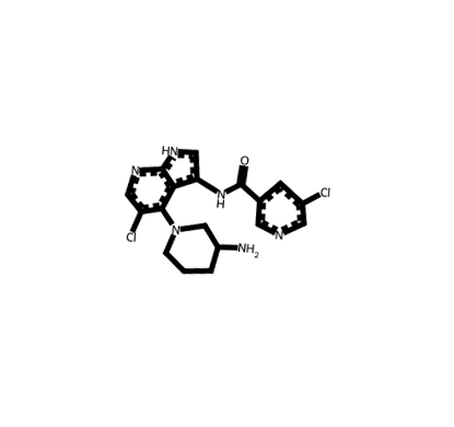 NC1CCCN(c2c(Cl)cnc3[nH]cc(NC(=O)c4cncc(Cl)c4)c23)C1